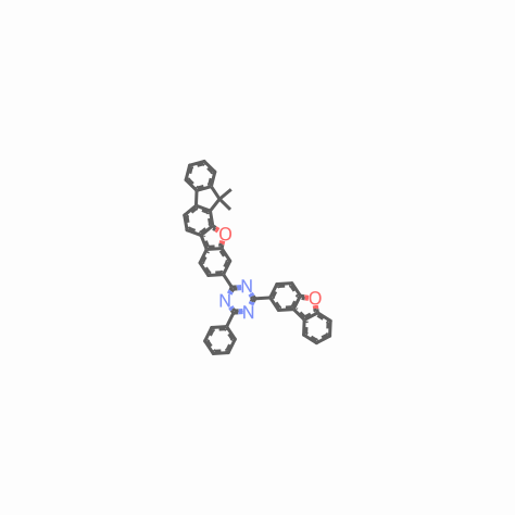 CC1(C)c2ccccc2-c2ccc3c(oc4cc(-c5nc(-c6ccccc6)nc(-c6ccc7oc8ccccc8c7c6)n5)ccc43)c21